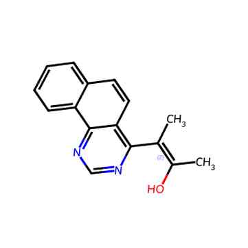 C/C(O)=C(\C)c1ncnc2c1ccc1ccccc12